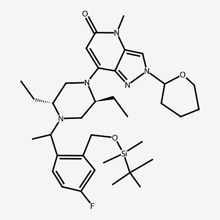 CC[C@H]1CN(C(C)c2ccc(F)cc2CO[Si](C)(C)C(C)(C)C)[C@H](CC)CN1c1cc(=O)n(C)c2cn(C3CCCCO3)nc12